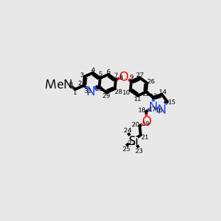 CNCc1ccc2cc(Oc3ccc(-c4ccnn4COCC[Si](C)(C)C)cc3)ccc2n1